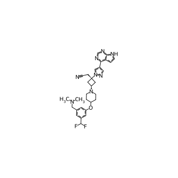 CN(C)Cc1cc(OC2CCN([C@H]3C[C@](CC#N)(n4cc(-c5ncnc6[nH]ccc56)cn4)C3)CC2)cc(C(F)F)c1